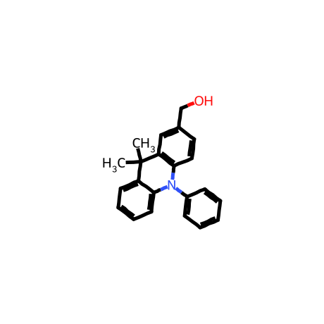 CC1(C)c2ccccc2N(c2ccccc2)c2ccc(CO)cc21